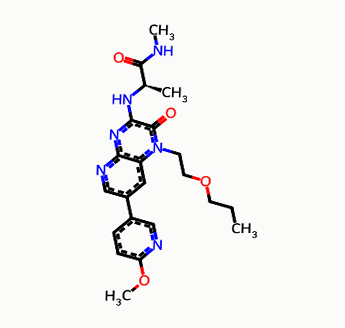 CCCOCCn1c(=O)c(N[C@H](C)C(=O)NC)nc2ncc(-c3ccc(OC)nc3)cc21